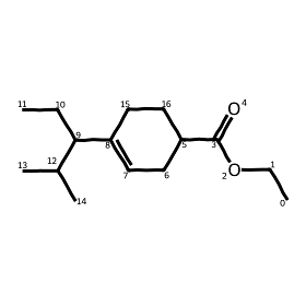 CCOC(=O)C1CC=C(C(CC)C(C)C)CC1